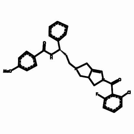 COc1ccc(C(=O)N[C@@H](CCN2CC3=CN(C(=O)c4c(F)cccc4Cl)CC3C2)c2ccccc2)cc1